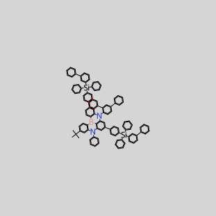 CC(C)(C)c1ccc2c(c1)N(c1ccccc1)c1cc(-c3ccc([Si](c4ccccc4)(c4ccccc4)c4cccc(-c5ccccc5)c4)cc3)cc3c1B2c1ccc(-c2ccc([Si](c4ccccc4)(c4ccccc4)c4cccc(-c5ccccc5)c4)cc2)cc1N3c1ccc(-c2ccccc2)cc1-c1ccccc1